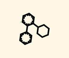 [c]1cccc(C2CCCCC2)c1-c1ccccc1